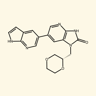 O=c1[nH]c2ncc(-c3cnc4[nH]ccc4c3)cc2n1C[C@H]1COCCO1